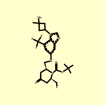 CC1(O)CC(n2cnc3cc(OC[C@@H]4CC(=O)C[C@H](CF)N4C(=O)OC(C)(C)C)cc(C(F)(F)F)c32)C1